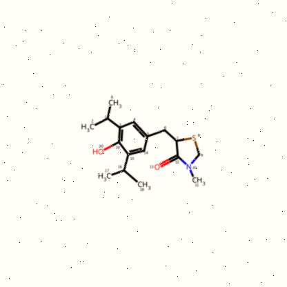 CC(C)c1cc(CC2SCN(C)C2=O)cc(C(C)C)c1O